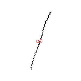 CCCCCCCCCCCCCCCCCC=CC(=O)OCCCCCCCCCCCCCCCCCCCC